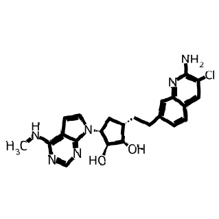 CNc1ncnc2c1ccn2[C@@H]1C[C@H](CCc2ccc3cc(Cl)c(N)nc3c2)[C@@H](O)[C@H]1O